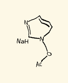 CC(=O)On1ccnc1.[NaH]